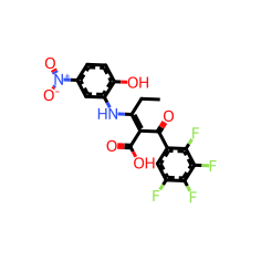 CCC(Nc1cc([N+](=O)[O-])ccc1O)=C(C(=O)O)C(=O)c1cc(F)c(F)c(F)c1F